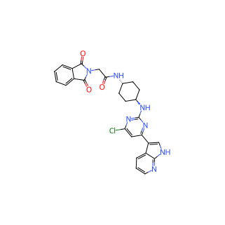 O=C(CN1C(=O)c2ccccc2C1=O)N[C@H]1CC[C@H](Nc2nc(Cl)cc(-c3c[nH]c4ncccc34)n2)CC1